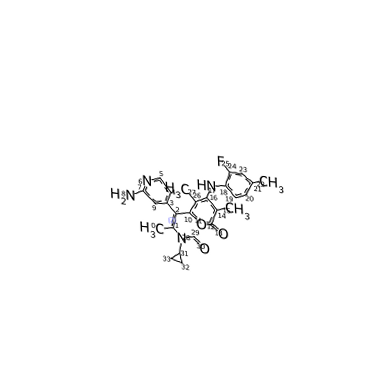 C/C(=C(\c1ccnc(N)c1)c1oc(=O)c(C)c(Nc2ccc(C)cc2F)c1C)N(C=O)C1CC1